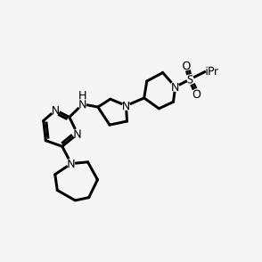 CC(C)S(=O)(=O)N1CCC(N2CCC(Nc3nccc(N4CCCCCC4)n3)C2)CC1